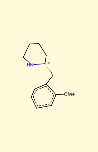 COc1ccccc1C[C@H]1CCCCN1